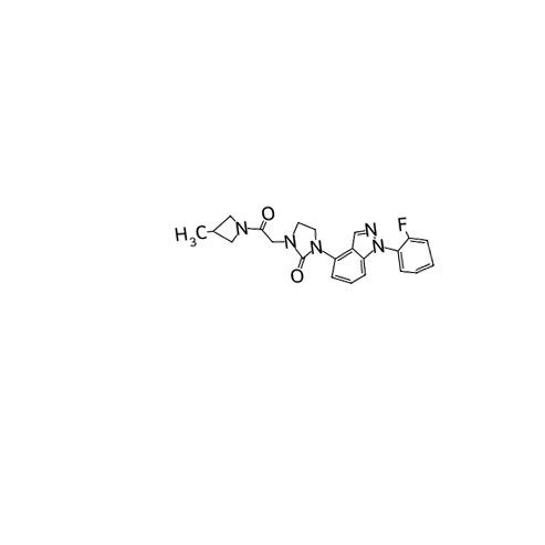 CC1CN(C(=O)CN2CCN(c3cccc4c3cnn4-c3ccccc3F)C2=O)C1